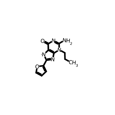 CCCn1c(N)nc(=O)c2c1N=C(c1ccco1)[N]2